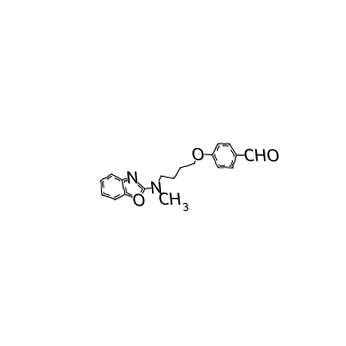 CN(CCCCOc1ccc(C=O)cc1)c1nc2ccccc2o1